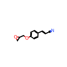 N#C/C=C/c1ccc(OCC2CO2)cc1